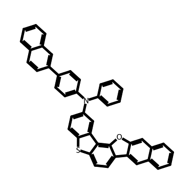 c1ccc(N(c2ccc(-c3ccc4ccccc4c3)cc2)c2ccc3sc4ccc5c6cc7ccccc7cc6oc5c4c3c2)cc1